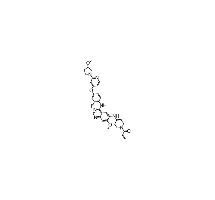 C=CC(=O)N1CCC(Nc2cc3c(Nc4ccc(Oc5ccnc(N6CC[C@@H](OC)C6)c5)cc4F)ncnc3cc2OC)CC1